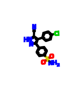 N#Cc1[nH]nc(-c2ccc(S(N)(=O)=O)cc2)c1-c1ccc(Cl)cc1